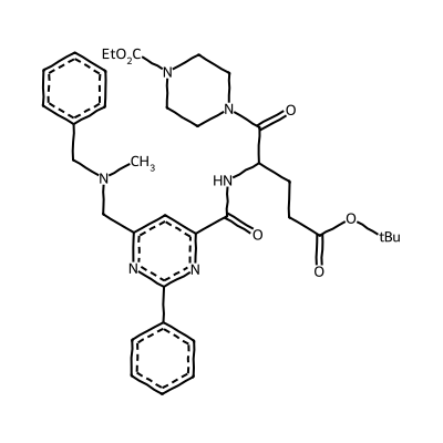 CCOC(=O)N1CCN(C(=O)C(CCC(=O)OC(C)(C)C)NC(=O)c2cc(CN(C)Cc3ccccc3)nc(-c3ccccc3)n2)CC1